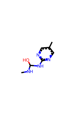 CNC(O)Nc1ncc(C)cn1